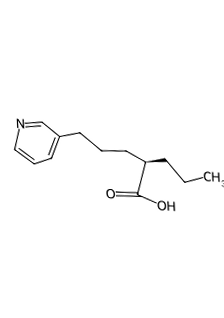 CCC[C@H](CCCc1cccnc1)C(=O)O